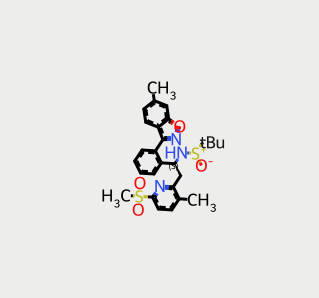 Cc1ccc2c(-c3ccccc3[C@H](Cc3nc(S(C)(=O)=O)ccc3C)N[S+]([O-])C(C)(C)C)noc2c1